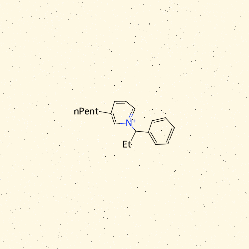 CCCCCc1ccc[n+](C(CC)c2ccccc2)c1